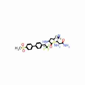 CC1C[C@H](N[C@@H](c2ccc(-c3ccc(S(C)(=O)=O)cc3)cc2)C(F)(F)F)C(=O)S1(N)[C@H](C#N)CC(N)=O